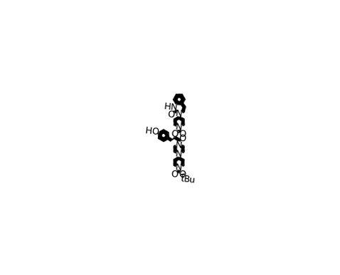 CC(C)(C)OC(=O)N1CCC(N2CCN(C(=O)[C@@H](Cc3ccc(O)cc3)OC(=O)N3CCC(N4CCc5ccccc5NC4=O)CC3)CC2)CC1